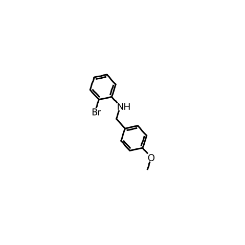 COc1ccc(CNc2ccccc2Br)cc1